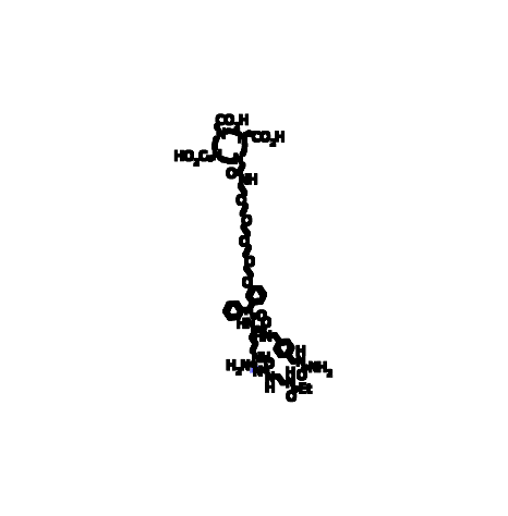 CCC(=O)NCCNC(=O)/N=C(/N)NCCC[C@@H](NC(=O)[C@H](c1ccccc1)c1cccc(OCCOCCOCCOCCOCCNC(=O)CN2CCN(CC(=O)O)CCN(CC(=O)O)CCN(CC(=O)O)CC2)c1)C(=O)NCc1ccc(CNC(N)=O)cc1